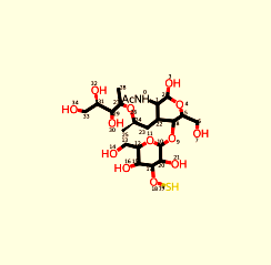 CC(=O)NC1C(O)OC(CO)C(OC2OC(CO)C(O)C(OS)C2O)C1C[C@@H](C)OC(C)C(O)[C@H](O)CO